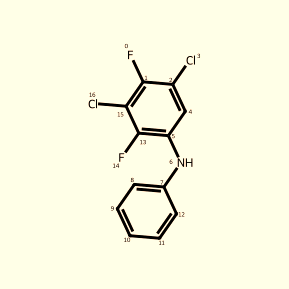 Fc1c(Cl)cc(Nc2ccccc2)c(F)c1Cl